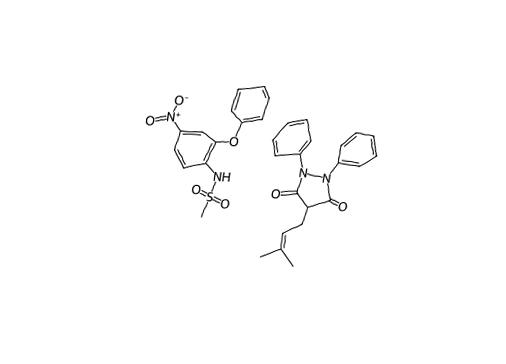 CC(C)=CCC1C(=O)N(c2ccccc2)N(c2ccccc2)C1=O.CS(=O)(=O)Nc1ccc([N+](=O)[O-])cc1Oc1ccccc1